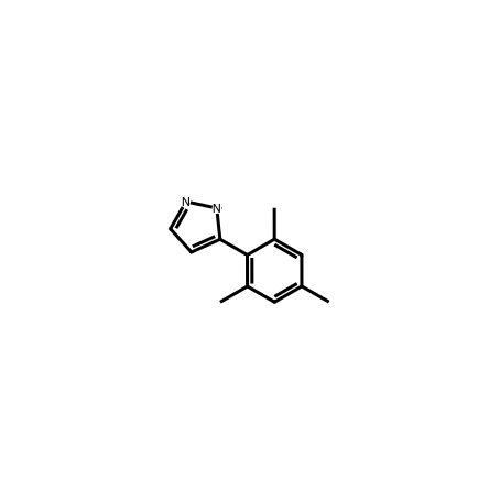 Cc1cc(C)c(C2=CC=N[N]2)c(C)c1